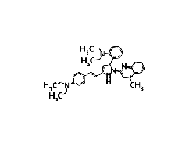 CCN(CC)c1ccc(C=CC2=CC(c3ccccc3N(CC)CC)N(c3cc(C)c4ccccc4n3)N2)cc1